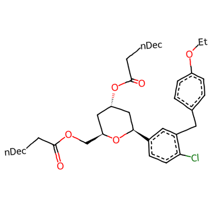 CCCCCCCCCCCC(=O)OC[C@H]1C[C@H](OC(=O)CCCCCCCCCCC)C[C@@H](c2ccc(Cl)c(Cc3ccc(OCC)cc3)c2)O1